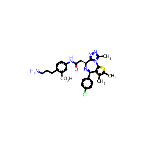 Cc1sc2c(c1C)C(c1ccc(Cl)cc1)=N[C@@H](CC(=O)Nc1ccc(CCCN)c(C(=O)O)c1)c1nnc(C)n1-2